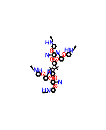 C#CCNc1cccc(Oc2cccc(Oc3cc4c(cc3Oc3cccc(Oc5cccc(NCC#C)c5)c3C#N)C(C)(C)C3c5cc(Oc6cccc(Oc7cccc(NCC#C)c7)c6C#N)c(Oc6cccc(Oc7cccc(NCC#C)c7)c6C#N)cc5C(C)(C)C43)c2C#N)c1